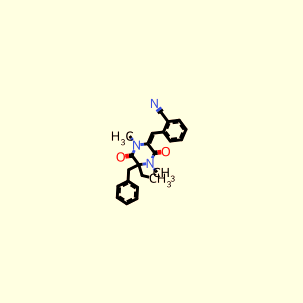 CCC1(Cc2ccccc2)C(=O)N(C)C(=Cc2ccccc2C#N)C(=O)N1C